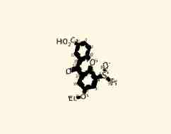 CCOc1cc([S+]([O-])C(C)C)c2oc3ccc(C(=O)O)cc3c(=O)c2c1